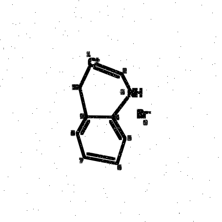 [Br-].[C+]1=CNc2ccccc2C1